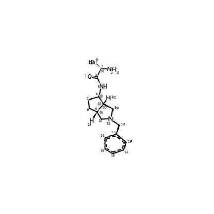 CC(C)(C)[C@H](N)C(=O)N[C@@H]1CC[C@H]2CN(Cc3ccccc3)C[C@H]21